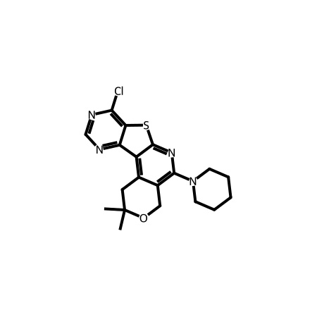 CC1(C)Cc2c(c(N3CCCCC3)nc3sc4c(Cl)ncnc4c23)CO1